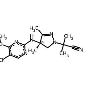 COc1nc(N[C@@]2(C)CN(C(C)(C)C#N)N=C2C)ncc1Cl